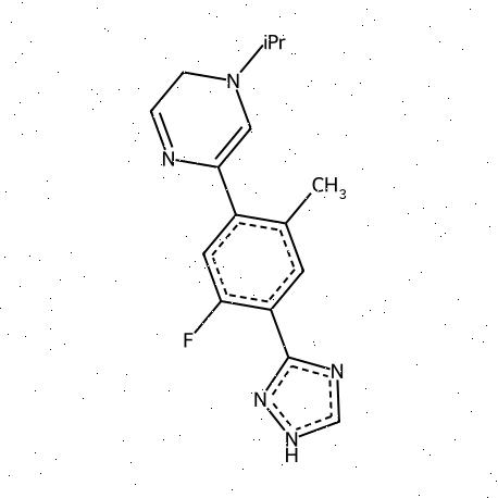 Cc1cc(-c2nc[nH]n2)c(F)cc1C1=CN(C(C)C)CC=N1